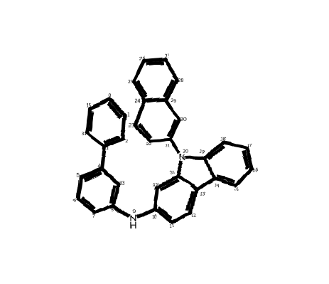 c1ccc(-c2cccc(Nc3ccc4c5ccccc5n(-c5ccc6ccccc6c5)c4c3)c2)cc1